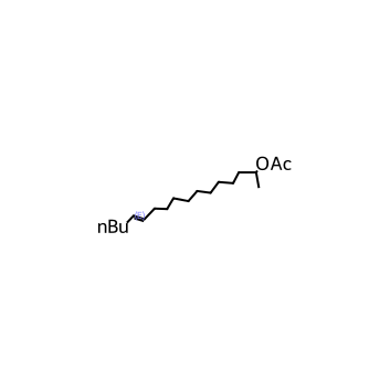 CCCC/C=C/CCCCCCCCCC(C)OC(C)=O